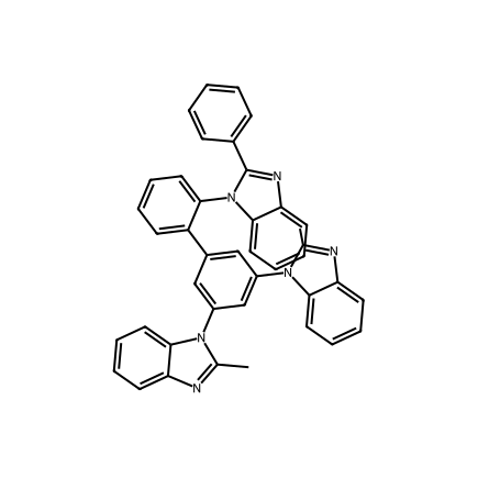 Cc1nc2ccccc2n1-c1cc(-c2ccccc2-n2c(-c3ccccc3)nc3ccccc32)cc(-n2c(C)nc3ccccc32)c1